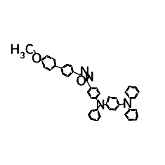 CCOc1ccc(-c2ccc(-c3nnc(-c4ccc(N(c5ccccc5)c5ccc(N(c6ccccc6)c6ccccc6)cc5)cc4)o3)cc2)cc1